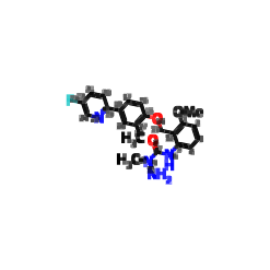 COc1cccc(NC(=O)N(C)N)c1COc1ccc(-c2ccc(F)cn2)cc1C